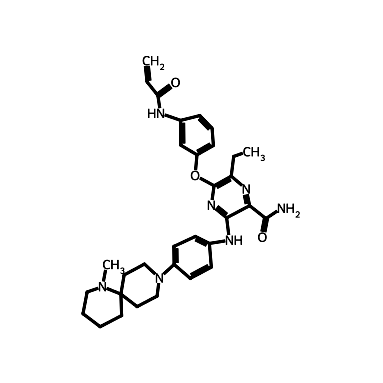 C=CC(=O)Nc1cccc(Oc2nc(Nc3ccc(N4CCC5(CCCCN5C)CC4)cc3)c(C(N)=O)nc2CC)c1